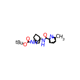 Cc1cccc(C(=O)N[C@]23CCC[C@](NC(=O)OC(C)(C)C)(CC2)C3)n1